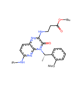 COc1ccccc1[C@H](C)n1c(=O)c(NCCC(=O)OC(C)(C)C)nc2ccc(NC(C)C)nc21